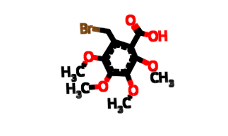 COc1c(CBr)c(C(=O)O)c(OC)c(OC)c1OC